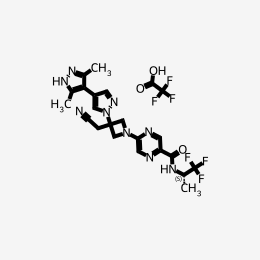 Cc1n[nH]c(C)c1-c1cnn(C2(CC#N)CN(c3cnc(C(=O)N[C@@H](C)C(F)(F)F)cn3)C2)c1.O=C(O)C(F)(F)F